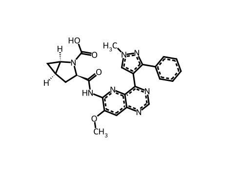 COc1cc2ncnc(-c3cn(C)nc3-c3ccccc3)c2nc1NC(=O)[C@H]1C[C@H]2C[C@H]2N1C(=O)O